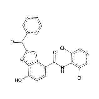 O=C(c1ccccc1)c1cc2c(C(=O)Nc3c(Cl)cccc3Cl)ccc(O)c2o1